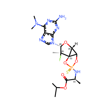 CC(C)OC(=O)[C@H](C)NP1(=S)OC2[C@H]3O[C@@H](n4cnc5c(N(C)C)nc(N)nc54)[C@](C)(F)[C@@]23O1